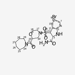 NC(=O)C1Nc2ccc(Br)cc2C1S(=O)(=O)N1CCOC(C(=O)N2CCCCCC2)C1